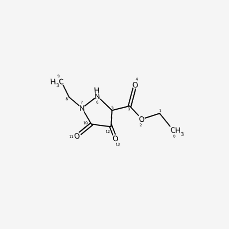 CCOC(=O)C1NN(CC)C(=O)C1=O